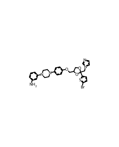 Nc1cccc(N2CCN(c3ccc(OCC4COC(Cn5ccnc5)(c5ccc(Br)s5)O4)cc3)CC2)c1